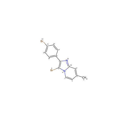 Cc1ccn2c(Br)c(-c3ccc(Br)cc3)nc2c1